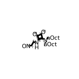 CCCCCCCCN(CCCCCCCC)c1c(NCCN=O)c(=O)c1=O